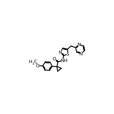 COc1ccc(C2(C(=O)Nc3ncc(Cc4cnccn4)s3)CC2)cc1